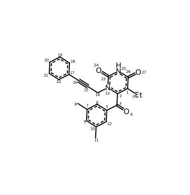 CCc1c(C(=O)c2cc(C)cc(C)c2)n(CC#Cc2ccccc2)c(=O)[nH]c1=O